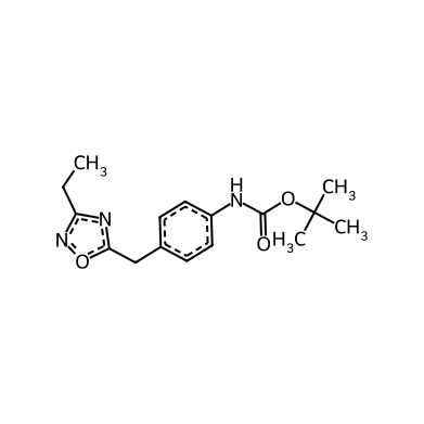 CCc1noc(Cc2ccc(NC(=O)OC(C)(C)C)cc2)n1